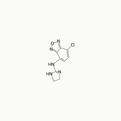 Clc1ccc(NC2=NCCN2)c2nonc12